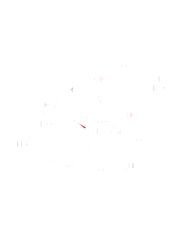 CC(=O)C(O)[C@@H](O)[C@](O)(C(C)=O)[C@@](O)(C(C)=O)[C@](O)(C(C)=O)C(=O)OC(=O)C(C)(C)Oc1ccc(Cl)cc1